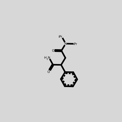 CC(C)N(C(=O)CC(C(N)=O)c1ccccc1)C(C)C